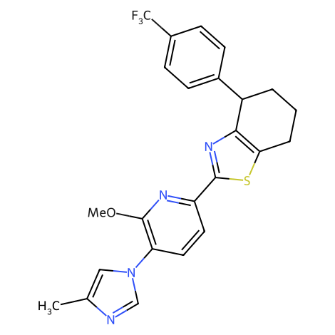 COc1nc(-c2nc3c(s2)CCCC3c2ccc(C(F)(F)F)cc2)ccc1-n1cnc(C)c1